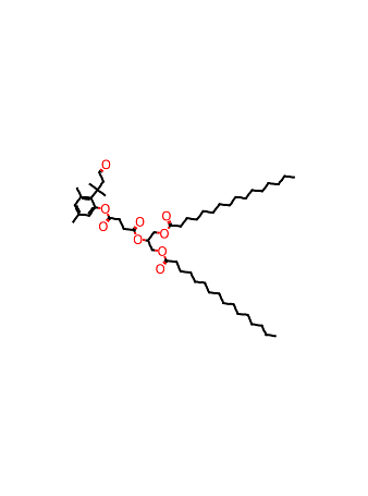 CCCCCCCCCCCCCCCC(=O)OCC(COC(=O)CCCCCCCCCCCCCCC)OC(=O)CCC(=O)Oc1cc(C)cc(C)c1C(C)(C)CC=O